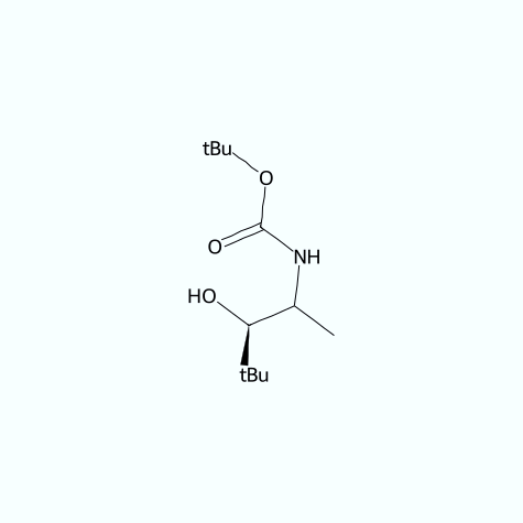 CC(NC(=O)OC(C)(C)C)[C@H](O)C(C)(C)C